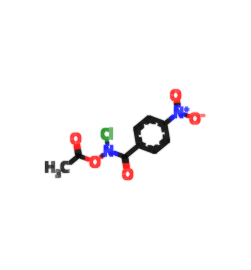 CC(=O)ON(Cl)C(=O)c1ccc([N+](=O)[O-])cc1